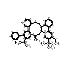 C=C1CC2C(CCc3ccncc3-c3cc(-c4ccccc4)c(C(C)C)c[n+]31)c1ccccc1-c1cc(CC)c([Si](C)(C)C)c[n+]12